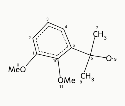 COc1cccc(C(C)(C)[O])c1OC